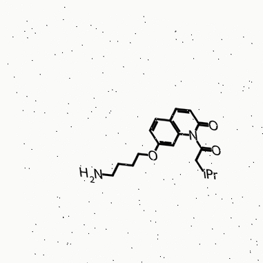 CC(C)CC(=O)n1c(=O)ccc2ccc(OCCCCN)cc21